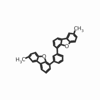 Cc1ccc2oc3c(-c4cccc(-c5cccc6c5oc5ccc(C)cc56)c4)cccc3c2c1